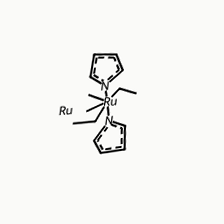 C[CH2][Ru]([CH3])([CH3])([CH2]C)([n]1cccc1)[n]1cccc1.[Ru]